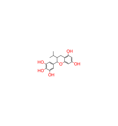 CC(C)C1Cc2c(O)cc(O)cc2OC1c1cc(O)c(O)c(O)c1